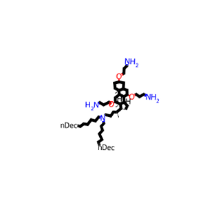 CCCCCCCCCCCCCCCCN(CCCCCCCCCCCCCCCC)CCC[C@@H](C)[C@H]1CC[C@H]2C3[C@H](OCCCN)CC4C[C@H](OCCCN)CC[C@]4(C)[C@H]3C[C@H](OCCCN)[C@]12C